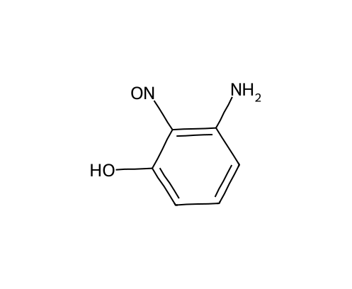 Nc1cccc(O)c1N=O